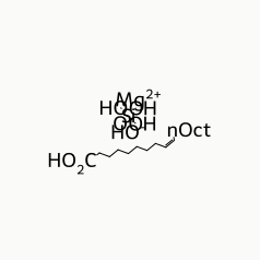 CCCCCCCC/C=C\CCCCCCCC(=O)O.[Mg+2].[O-][Si](O)(O)O.[OH-]